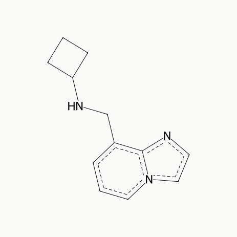 c1cc(CNC2CCC2)c2nccn2c1